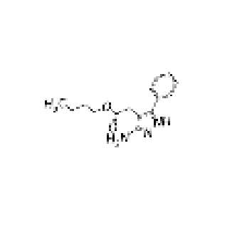 CCCCOC(=O)Cc1c(N)n[nH]c1-c1ccccc1